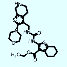 CCOC(=O)c1c(NC(=O)NCc2c(N3CCOCC3)sc3c2CCNC3)sc2c1CCCC2